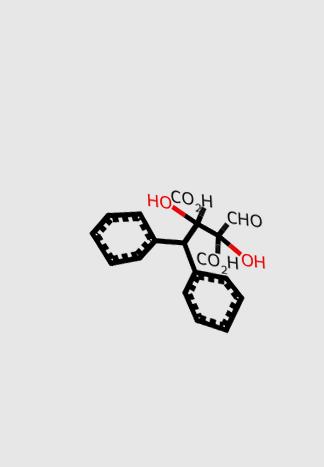 O=CC(O)(C(=O)O)C(O)(C(=O)O)C(c1ccccc1)c1ccccc1